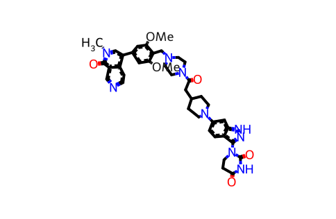 COc1cc(-c2cn(C)c(=O)c3cnccc23)cc(OC)c1CN1CCN(C(=O)CC2CCN(c3ccc4c(N5CCC(=O)NC5=O)n[nH]c4c3)CC2)CC1